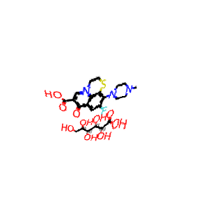 CN1CCN(c2c(F)cc3c(=O)c(C(=O)O)cn4c3c2SCC4)CC1.O=C(O)[C@H](O)[C@@H](O)[C@H](O)[C@H](O)CO